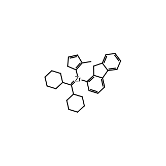 CC1=[C]([Zr](=[C](C2CCCCC2)C2CCCCC2)[c]2cccc3c2Cc2ccccc2-3)CC=C1